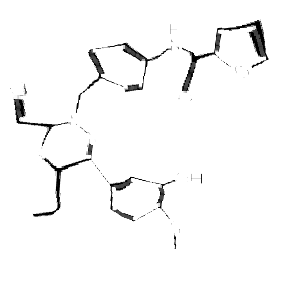 CCC1SC(C=O)N(Cc2ccc(NC(=O)c3ccco3)cc2)N=C1c1ccc(OC)c(O)c1